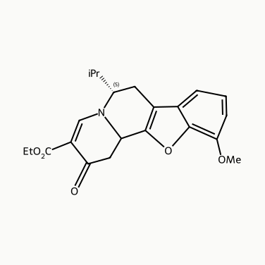 CCOC(=O)C1=CN2C(CC1=O)c1oc3c(OC)cccc3c1C[C@H]2C(C)C